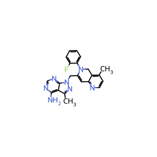 Cc1ccnc2c1CN(c1ccccc1F)C(Cn1nc(C)c3c(N)ncnc31)=C2